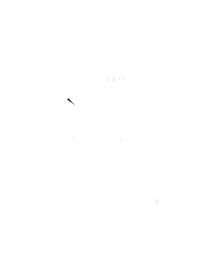 CCCCO[C@@H](Cc1ccc(O)cc1)C(=O)O